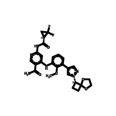 COc1c(Nc2cc(NC(=O)[C@H]3CC3(F)F)ncc2C(N)=O)cccc1-c1cnn([C@H]2CCC23OCCO3)c1